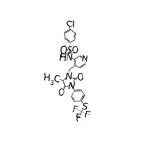 CC1C(=O)N(c2ccc(SC(F)(F)F)cc2)C(=O)N1Cc1ccncc1NS(=O)(=O)c1ccc(Cl)cc1